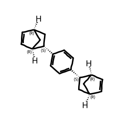 C1=C[C@H]2C[C@@H]1C[C@@H]2c1ccc([C@H]2C[C@@H]3C=C[C@H]2C3)cc1